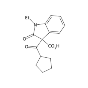 CCN1C(=O)C(C(=O)O)(C(=O)C2CCCC2)c2ccccc21